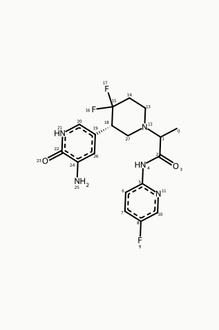 CC(C(=O)Nc1ccc(F)cn1)N1CCC(F)(F)[C@@H](c2c[nH]c(=O)c(N)c2)C1